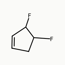 FC1C=CCC1F